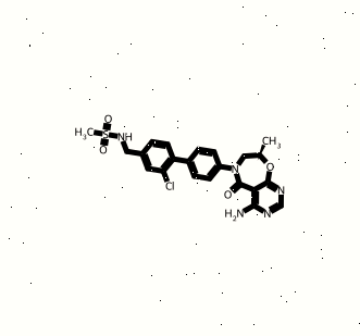 C[C@@H]1CN(c2ccc(-c3ccc(CNS(C)(=O)=O)cc3Cl)cc2)C(=O)c2c(N)ncnc2O1